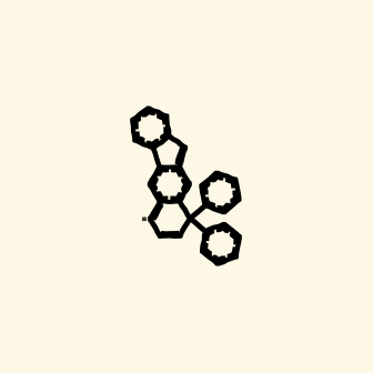 [C]1=c2cc3c(cc2C(c2ccccc2)(c2ccccc2)C=C1)=Cc1ccccc1-3